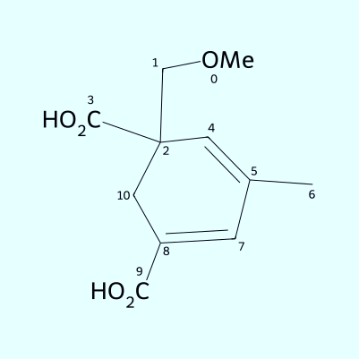 COCC1(C(=O)O)C=C(C)C=C(C(=O)O)C1